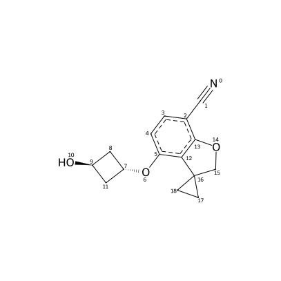 N#Cc1ccc(O[C@H]2C[C@H](O)C2)c2c1OCC21CC1